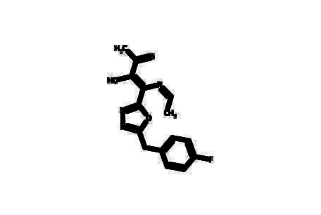 C/C=N\C(=C(\O)C(C)=S)c1nnc(Cc2ccc(F)cc2)o1